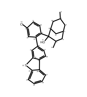 CC1CC2CC(C)C(O)(c3ccc(Cl)cc3-c3ccc4c(c3)sc3ccccc34)C(C1)C2